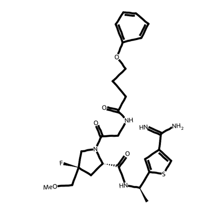 COC[C@@]1(F)C[C@@H](C(=O)N[C@H](C)c2cc(C(=N)N)cs2)N(C(=O)CNC(=O)CCCOc2ccccc2)C1